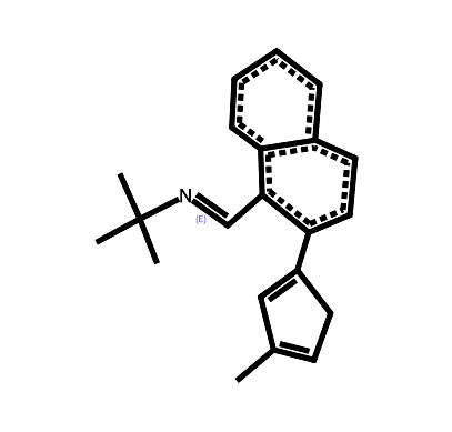 CC1=CCC(c2ccc3ccccc3c2/C=N/C(C)(C)C)=C1